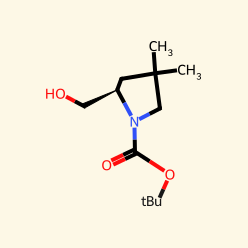 CC1(C)C[C@H](CO)N(C(=O)OC(C)(C)C)C1